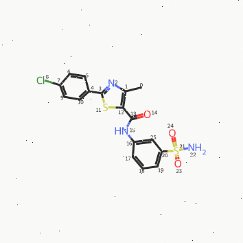 Cc1nc(-c2ccc(Cl)cc2)sc1C(=O)Nc1cccc(S(N)(=O)=O)c1